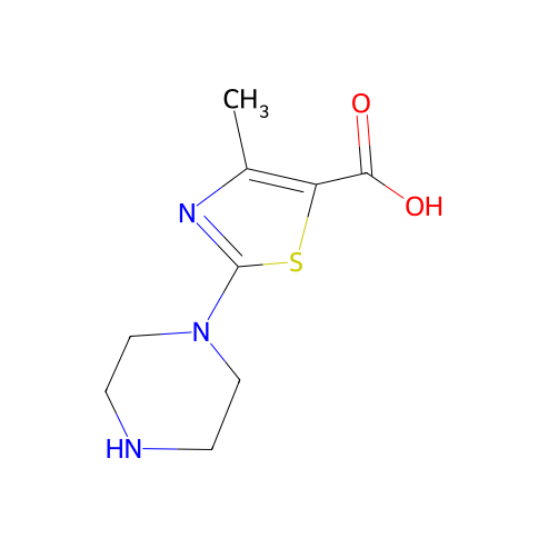 Cc1nc(N2CCNCC2)sc1C(=O)O